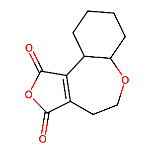 O=C1OC(=O)C2=C1CCOC1CCCCC21